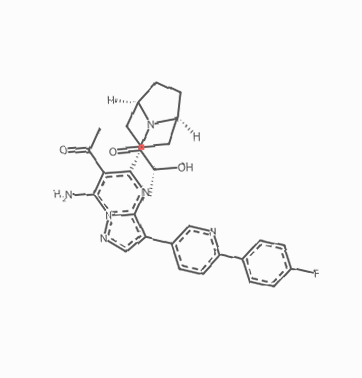 CC(=O)c1c([C@@H]2C[C@H]3CC[C@@H](C2)N3C(=O)[C@@H](C)O)nc2c(-c3ccc(-c4ccc(F)cc4)nc3)cnn2c1N